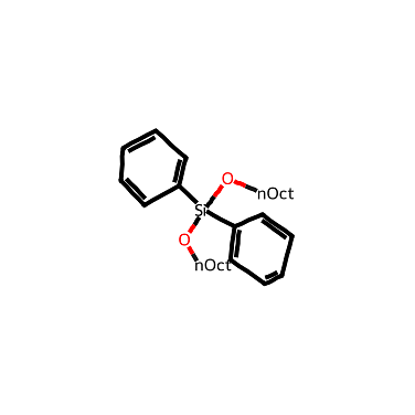 CCCCCCCCO[Si](OCCCCCCCC)(c1ccccc1)c1ccccc1